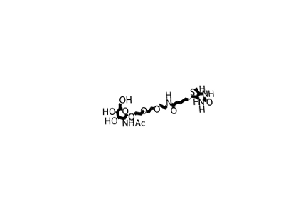 CC(=O)NC1C(O)[C@H](O)C(CO)O[C@@H]1OCCOCCOCCNC(=O)CCCC[C@@H]1SC[C@@H]2NC(=O)N[C@@H]21